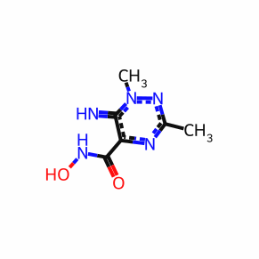 Cc1nc(C(=O)NO)c(=N)n(C)n1